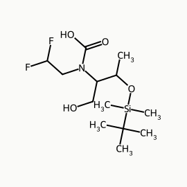 CC(O[Si](C)(C)C(C)(C)C)C(CO)N(CC(F)F)C(=O)O